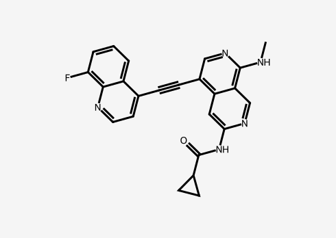 CNc1ncc(C#Cc2ccnc3c(F)cccc23)c2cc(NC(=O)C3CC3)ncc12